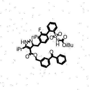 CCCN1NC(C(C)C)=C(C(=O)OCc2cccc(C(=O)c3ccccc3)c2)C1Cc1ccc(-c2ccccc2S(=O)(=O)NC(=O)OCC(C)C)c(F)c1